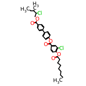 CCCCCCCCC(=O)Oc1ccc(C(=O)Oc2ccc(-c3ccc(C(=O)OCC(Cl)C(C)CC)cc3)cc2)cc1Cl